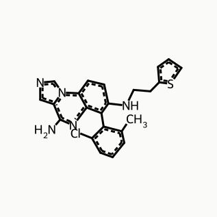 Cc1cccc(Cl)c1-c1c(NCCc2cccs2)ccc2c1nc(N)c1cncn12